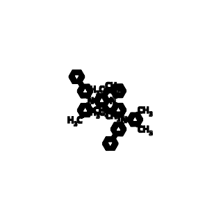 Cc1cc(C)cc(N(c2ccc(-c3ccccc3)cc2)c2ccc3c(c2)C(C)(C)c2cc(N(c4ccc(-c5ccccc5)cc4)c4ccc(C)cc4C)cc4c2N3c2ccccc2C4(C)C)c1